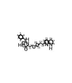 O=C(Cc1ccccc1)N[C@@H](CCOC1CC(CCc2ccc3c(n2)NCCC3)C1)C(=O)O